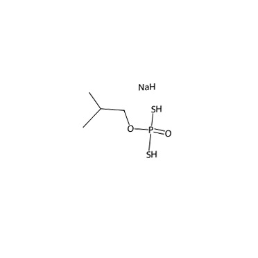 CC(C)COP(=O)(S)S.[NaH]